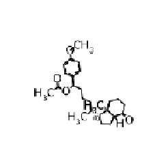 COc1ccc(C(CCCC(C)[C@H]2CC[C@H]3C(=O)CCC[C@]23C)OC(C)=O)cc1